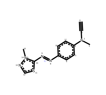 C#CN(C)c1ccc(/N=N/c2scn[n+]2C)cc1